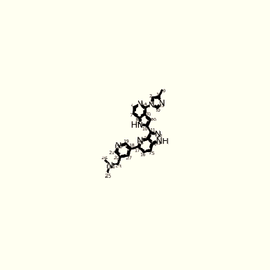 Cc1cn(-c2nccc3[nH]c(-c4n[nH]c5ccc(-c6cncc(CN(C)C)c6)nc45)cc23)cn1